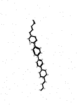 CCCCCC1CCC(c2ccc(-c3ccc(C4CCC(CCCC)CC4)cc3)cc2)OC1